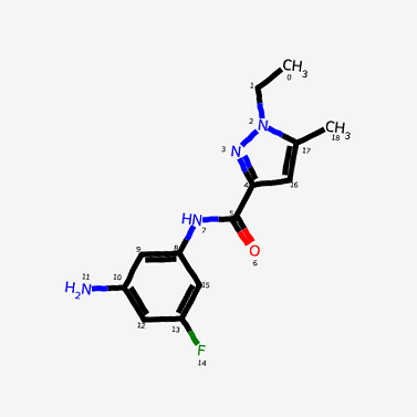 CCn1nc(C(=O)Nc2cc(N)cc(F)c2)cc1C